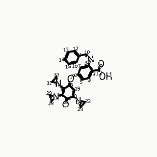 O=C(O)c1ccccc1/N=C\c1ccccc1.O=C1C=C(N2CC2)C(=O)C(N2CC2)=C1N1CC1